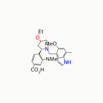 CCO[C@H]1CCN(Cc2c(OC)cc(C)c3[nH]ccc23)[C@@H](c2ccc(C(=O)O)cc2NC)C1